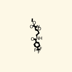 CCOC(=O)c1cc(CCNC(=O)c2ccc(C(F)(F)F)cc2)on1